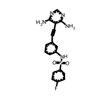 Nc1ncnc(N)c1C#Cc1cccc(NS(=O)(=O)c2ccc(F)cc2)c1